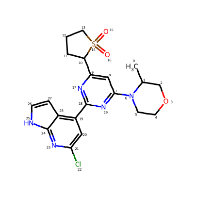 CC1COCCN1c1cc(C2CCCS2(=O)=O)nc(-c2cc(Cl)nc3[nH]ccc23)n1